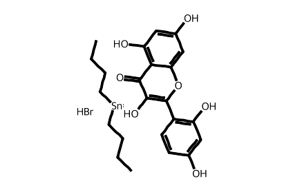 Br.CCC[CH2][Sn][CH2]CCC.O=c1c(O)c(-c2ccc(O)cc2O)oc2cc(O)cc(O)c12